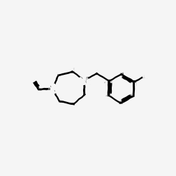 O=CN1CCCN(Cc2cccc(Cl)c2)CC1